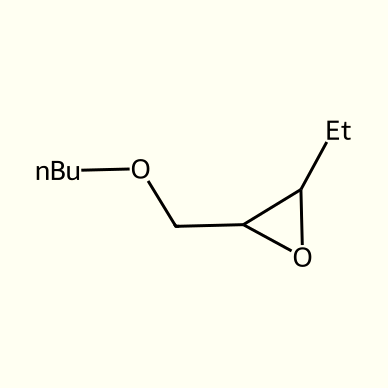 CCCCOCC1OC1CC